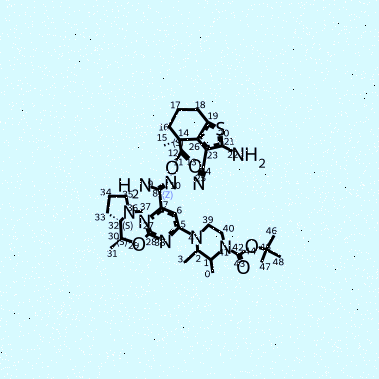 CC1C(C)N(c2cc(/C(N)=N/OC(=O)[C@@]3(C)CCCc4sc(N)c(C#N)c43)nc(O[C@@H](C)[C@@H]3CCCN3C)n2)CCN1C(=O)OC(C)(C)C